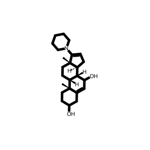 C[C@]12CCC(O)CC1=CC(O)[C@@H]1[C@H]2CC[C@]2(C)C(N3CCCCC3)=CC[C@@H]12